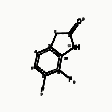 O=C1Cc2ccc(F)c(F)c2N1